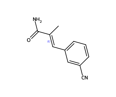 C/C(=C\c1cccc(C#N)c1)C(N)=O